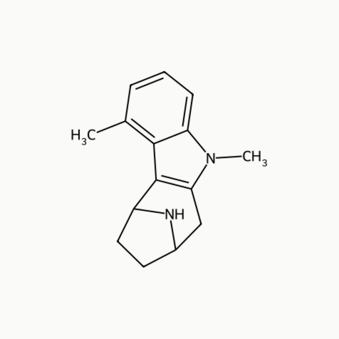 Cc1cccc2c1c1c(n2C)CC2CCC1N2